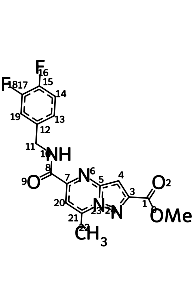 COC(=O)c1cc2nc(C(=O)NCc3ccc(F)c(F)c3)cc(C)n2n1